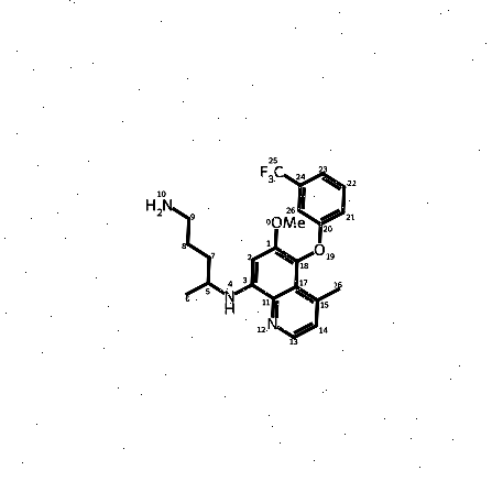 COc1cc(NC(C)CCCN)c2nccc(C)c2c1Oc1cccc(C(F)(F)F)c1